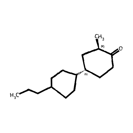 CCCC1CCC([C@H]2CCC(=O)[C@H](C)C2)CC1